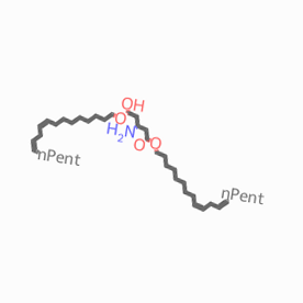 CCCCC/C=C\C/C=C\CCCCCCCCOC(=O)CC(N)CC(O)OCCCCCCCC/C=C\C/C=C\CCCCC